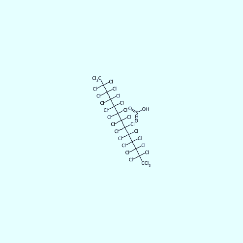 ClC(Cl)(Cl)C(Cl)(Cl)C(Cl)(Cl)C(Cl)(Cl)C(Cl)(Cl)C(Cl)(Cl)C(Cl)(Cl)C(Cl)(Cl)C(Cl)(Cl)C(Cl)(Cl)C(Cl)(Cl)C(Cl)(Cl)C(Cl)(Cl)Cl.O=[SH](=O)O